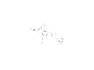 N#Cc1cn2c3c(c(NCCCn4cccn4)c(F)c(N)c3c1=O)OCC21CC1